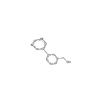 OCc1cccc(-c2cn[c]nc2)c1